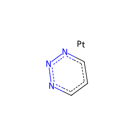 [Pt].c1cnnnc1